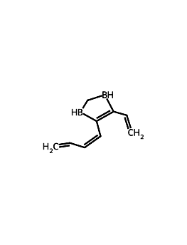 C=C/C=C\C1=C(C=C)BCB1